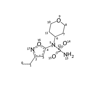 CCc1cc(N(C2CCOCC2)S(N)(=O)=O)on1